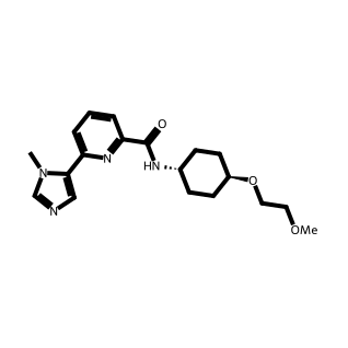 COCCO[C@H]1CC[C@H](NC(=O)c2cccc(-c3cncn3C)n2)CC1